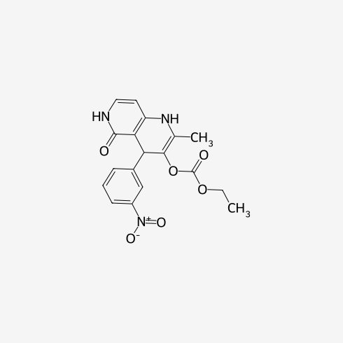 CCOC(=O)OC1=C(C)Nc2cc[nH]c(=O)c2C1c1cccc([N+](=O)[O-])c1